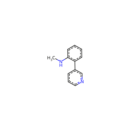 CNc1ccccc1-c1cccnc1